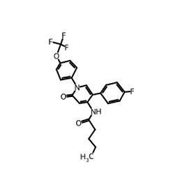 CCCCC(=O)Nc1cc(=O)n(-c2ccc(OC(F)(F)F)cc2)cc1-c1ccc(F)cc1